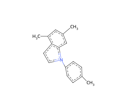 Cc1ccc(-n2ccc3c(C)cc(C)cc32)cc1